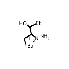 CCCCCC(N)C(O)CC.N